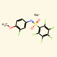 COc1ccc(N=S(=O)([O-])c2c(F)c(F)c(F)c(F)c2F)cc1F.[Na+]